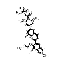 COCOc1c(-c2ccc3cc(N4C[C@H](C)N(C(=O)OC(C)(C)C)[C@@H](C)C4)cc(F)c3n2)cc2cn(C)nc2c1C